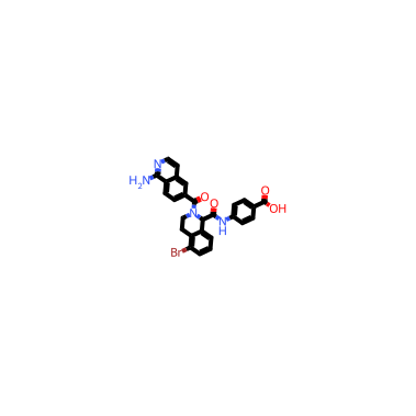 Nc1nccc2cc(C(=O)N3CCc4c(Br)cccc4C3C(=O)Nc3ccc(C(=O)O)cc3)ccc12